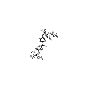 CN(Cc1ccc(C(=S)NNC(=O)OC(C)(C)C)cc1)C(=O)OC(C)(C)C